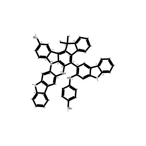 CC(C)(C)c1ccc(Nc2cc3sc4ccccc4c3cc2-c2c3c(c4c5cc(C(C)(C)C)ccc5n5c4c2Bc2cc4c(cc2-5)sc2ccccc24)C(C)(C)c2ccccc2-3)cc1